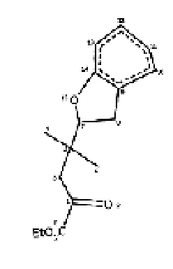 CCOC(=O)C(=O)CC(C)(C)C1Cc2ccccc2O1